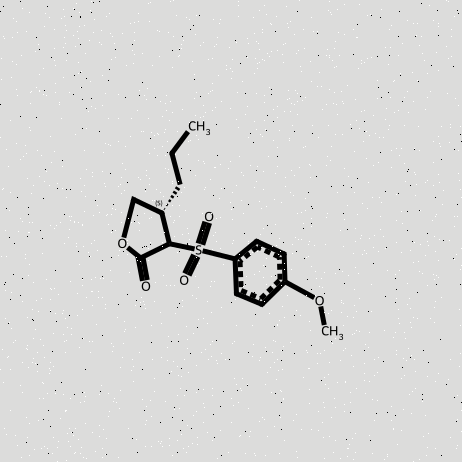 CCC[C@H]1COC(=O)C1S(=O)(=O)c1ccc(OC)cc1